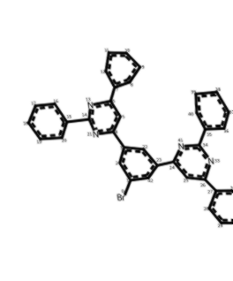 Brc1cc(-c2cc(-c3ccccc3)nc(-c3ccccc3)n2)cc(-c2cc(-c3ccccc3)nc(-c3ccccc3)n2)c1